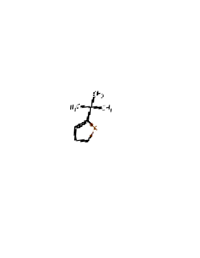 CC(C)(C)C1=CCCS1